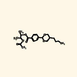 CCCCC1COC(c2ccc(C(=O)OC(C)C(C)OC(C)=O)cc2)OC1